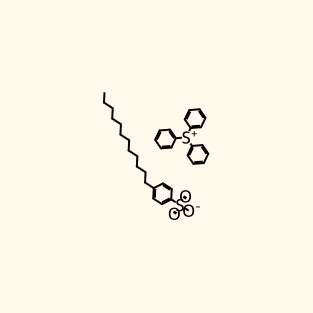 CCCCCCCCCCCCc1ccc(S(=O)(=O)[O-])cc1.c1ccc([S+](c2ccccc2)c2ccccc2)cc1